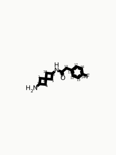 NC1CC2(C1)CC(NC(=O)Cc1ccc(F)cc1)C2